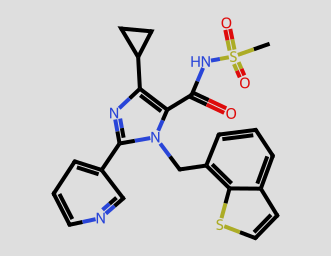 CS(=O)(=O)NC(=O)c1c(C2CC2)nc(-c2cccnc2)n1Cc1cccc2ccsc12